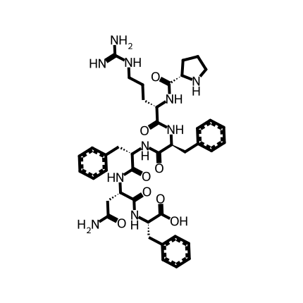 N=C(N)NCCC[C@H](NC(=O)[C@@H]1CCCN1)C(=O)N[C@@H](Cc1ccccc1)C(=O)N[C@@H](Cc1ccccc1)C(=O)N[C@@H](CC(N)=O)C(=O)N[C@@H](Cc1ccccc1)C(=O)O